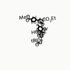 CCOC(=O)n1cc(-c2ccc(C(=O)OC)cc2)n(Cc2ccc(C(F)(F)P(=O)(OO)OOCOC(=O)C(C)(C)C)c(Br)c2)c1=O